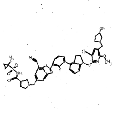 COc1nc(O[C@@H]2CCc3c(-c4cccc(-c5nc6cc(CN7CC[C@@H](C(=O)NS(=O)(=O)C8(C)CC8)C7)cc(C#N)c6o5)c4F)cccc32)c(Cl)cc1CN1CC[C@@H](O)C1